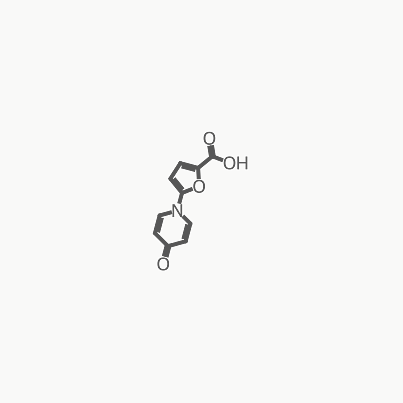 O=C(O)c1ccc(-n2ccc(=O)cc2)o1